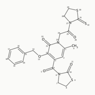 Cc1cc(C(=O)N2CCSC2=O)c(OCc2ccccc2)c(=O)n1CC(=O)N1CCSC1=S